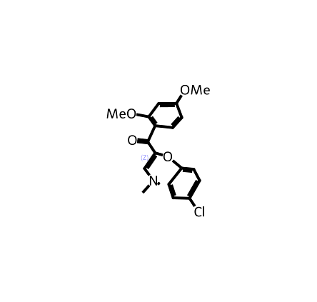 COc1ccc(C(=O)/C(=C/N(C)C)Oc2ccc(Cl)cc2)c(OC)c1